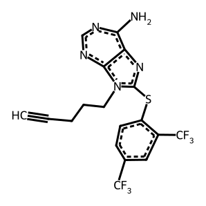 C#CCCCn1c(Sc2ccc(C(F)(F)F)cc2C(F)(F)F)nc2c(N)ncnc21